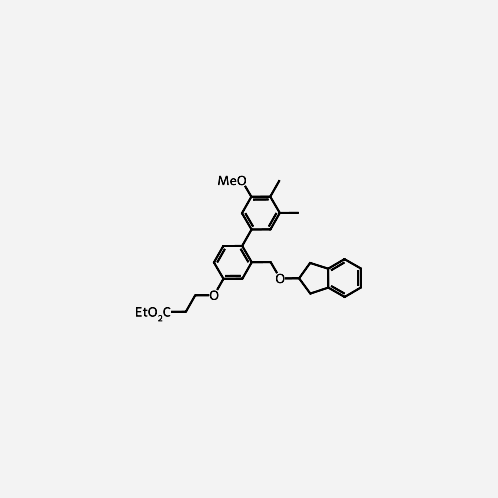 CCOC(=O)CCOc1ccc(-c2cc(C)c(C)c(OC)c2)c(COC2Cc3ccccc3C2)c1